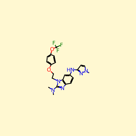 CN(C)c1nc2ccc(Nc3ccn(C)n3)cc2n1CCOc1ccc(OC(F)(F)F)cc1